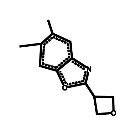 Cc1cc2nc(C3COC3)oc2cc1C